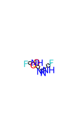 O=S(=O)(Nc1ccc(F)cc1)c1ccc(-c2ncnc3[nH]c(-c4ccc(F)cc4)cc23)cc1